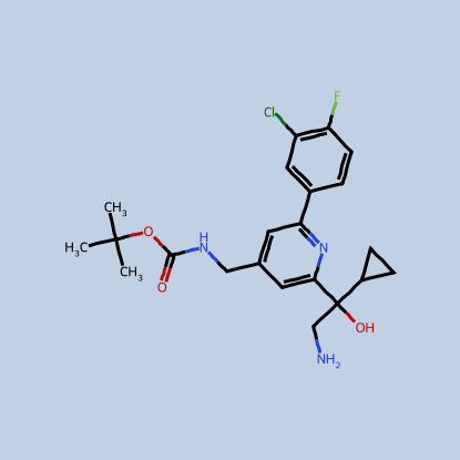 CC(C)(C)OC(=O)NCc1cc(-c2ccc(F)c(Cl)c2)nc(C(O)(CN)C2CC2)c1